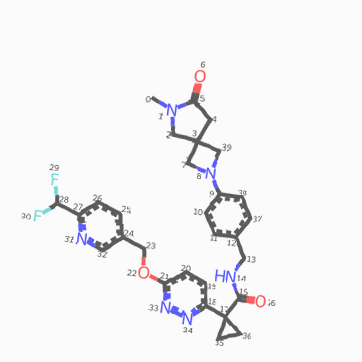 CN1CC2(CC1=O)CN(c1ccc(CNC(=O)C3(c4ccc(OCc5ccc(C(F)F)nc5)nn4)CC3)cc1)C2